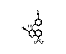 N#Cc1cccc(Nc2c(C#N)cnc3c([N+](=O)[O-])cccc23)c1